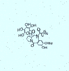 COc1cc2c(cc1O)C(=O)N1CCC[C@H]1[C@H](OC1OC(O)=C(O)C(O)=C1O)N2C(=O)OC(C)(C)C